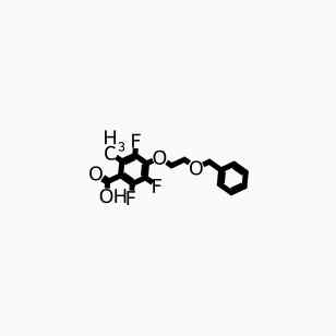 Cc1c(F)c(OCCOCc2ccccc2)c(F)c(F)c1C(=O)O